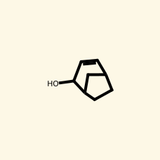 OC1C=CC2CCC1C2